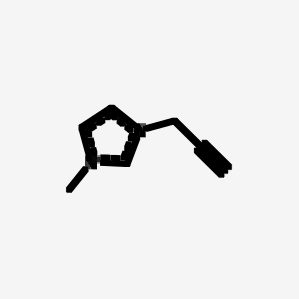 C#CCn1cc[n+](C)c1